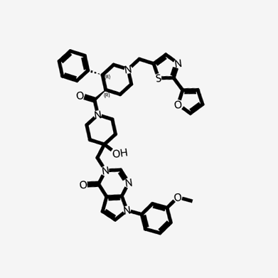 COc1cccc(-n2ccc3c(=O)n(CC4(O)CCN(C(=O)[C@@H]5CCN(Cc6cnc(-c7ccco7)s6)C[C@H]5c5ccccc5)CC4)cnc32)c1